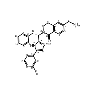 NCc1ccc2c(c1)CCN([C@@H](Cc1ccccc1)c1ncc(-c3cccc(F)c3)[nH]1)C2=O